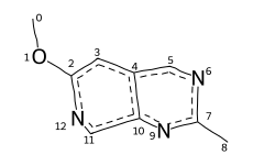 COc1cc2cnc(C)nc2cn1